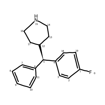 Fc1ccc([C@@H](c2ccccc2)C2CCNCC2)cc1